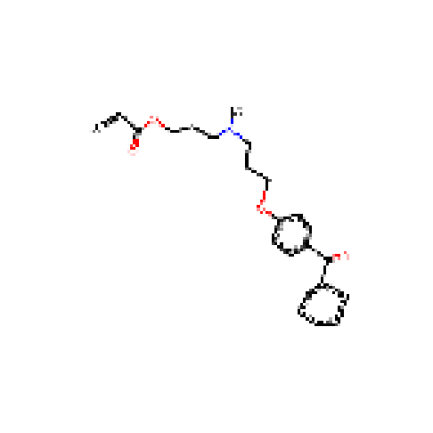 C=CC(=O)OCCCN(CC)CCCOc1ccc(C(=O)c2ccccc2)cc1